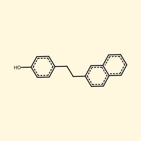 Oc1ccc(CCc2ccc3ccccc3c2)cc1